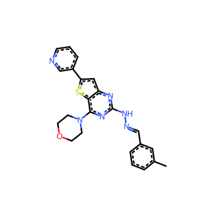 Cc1cccc(/C=N/Nc2nc(N3CCOCC3)c3sc(-c4cccnc4)cc3n2)c1